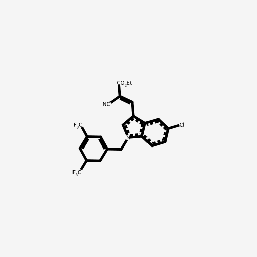 CCOC(=O)/C(C#N)=C/c1cn(CC2=CC(C(F)(F)F)=CC(C(F)(F)F)C2)c2ccc(Cl)cc12